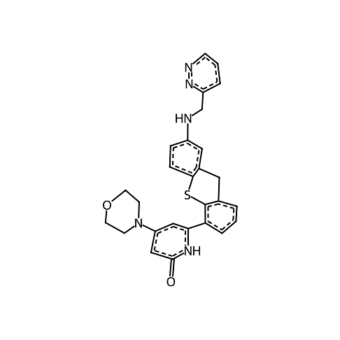 O=c1cc(N2CCOCC2)cc(-c2cccc3c2Sc2ccc(NCc4cccnn4)cc2C3)[nH]1